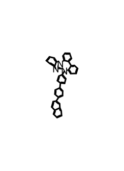 c1ccc2c(c1)-c1ccccc1-n1c(nc3ccccc31)N2c1ccc(-c2ccc(-c3ccc4ccccc4c3)cc2)cc1